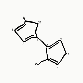 CC1=[C]CC=C1C1=CC=CC1